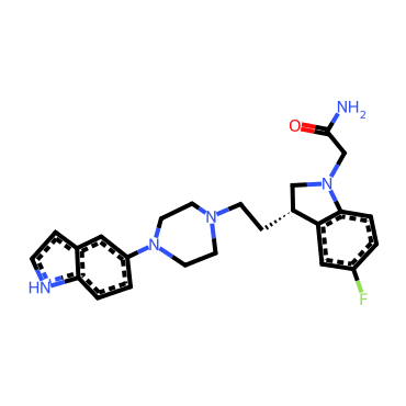 NC(=O)CN1C[C@@H](CCN2CCN(c3ccc4[nH]ccc4c3)CC2)c2cc(F)ccc21